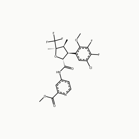 COC(=O)c1cc(NC(=O)[C@@H]2O[C@@](C)(C(F)(F)F)[C@@H](C)[C@H]2c2cc(Cl)c(F)c(F)c2OC)ccn1